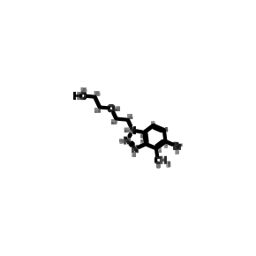 Cc1c(Br)ccc2c1nnn2CCOCCO